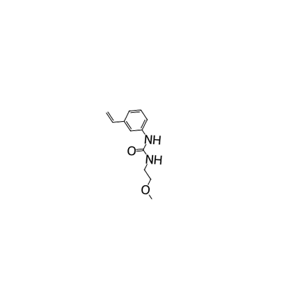 C=Cc1cccc(NC(=O)NCCOC)c1